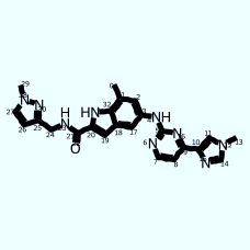 Cc1cc(Nc2nccc(-c3cn(C)cn3)n2)cc2cc(C(=O)NCc3ccn(C)n3)[nH]c12